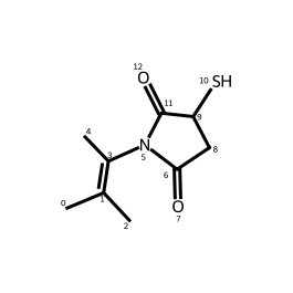 CC(C)=C(C)N1C(=O)CC(S)C1=O